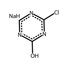 Oc1ncnc(Cl)n1.[NaH]